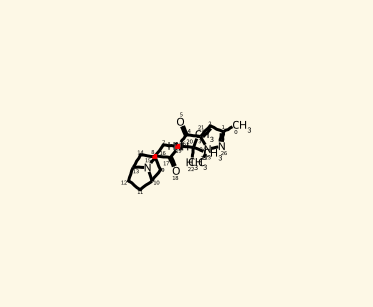 Cc1cc(C(=O)NCC2CC3CCC(C2)N3CC(=O)NC(C)(C)C)n(C)n1